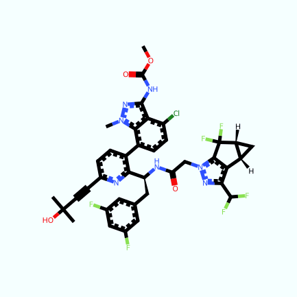 COC(=O)Nc1nn(C)c2c(-c3ccc(C#CC(C)(C)O)nc3[C@H](Cc3cc(F)cc(F)c3)NC(=O)Cn3nc(C(F)F)c4c3C(F)(F)[C@@H]3C[C@H]43)ccc(Cl)c12